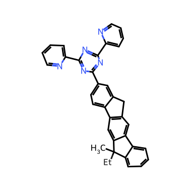 CCC1(C)c2ccccc2-c2cc3c(cc21)-c1ccc(-c2nc(-c4ccccn4)nc(-c4ccccn4)n2)cc1C3